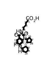 O=C(O)CCCCCNn1c(=O)c2cc(F)c(NC3CCCCC3)cc2n(C2CCCC2)c1=O